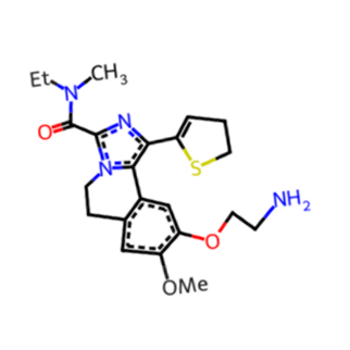 CCN(C)C(=O)c1nc(C2=CCCS2)c2n1CCc1cc(OC)c(OCCN)cc1-2